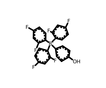 Oc1ccc([B-](c2ccc(F)cc2F)(c2ccc(F)cc2F)c2ccc(F)cc2F)cc1